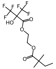 CCC(C)(C)C(=O)OCCOC(=O)C(O)(C(F)(F)F)C(F)(F)F